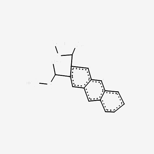 CCCCCCCCCCC(OC(=O)O)c1cc2cc3ccccc3cc2cc1C(CCCCCCCCCC)OC(=O)O